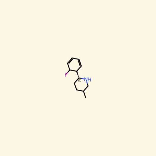 CC1CC[C@@H](C2C=CC=CC2I)NC1